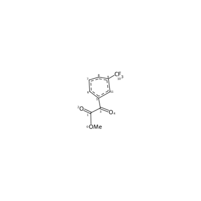 COC(=O)C(=O)c1cccc(C(F)(F)F)c1